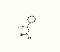 CCN(CC)CC(C)c1ccccc1